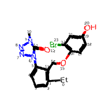 CCc1cccc(-n2nnn(C)c2=O)c1COc1ccc(O)cc1Br